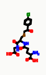 NC(CCC(=O)NC(CSCC(=O)c1ccc(Cl)cc1)C(=O)NCC(=O)O)C(=O)O